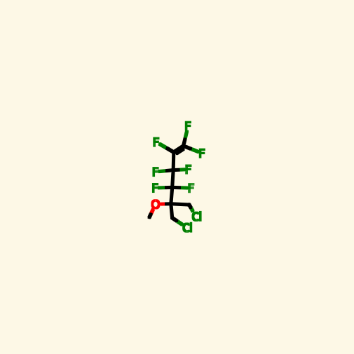 COC(CCl)(CCl)C(F)(F)C(F)(F)C(F)=C(F)F